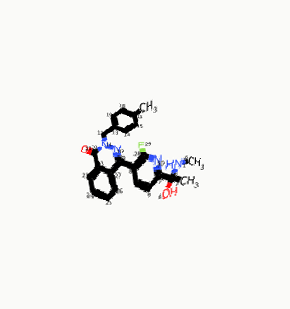 CNC(C)(O)c1ccc(-c2nn(Cc3ccc(C)cc3)c(=O)c3ccccc23)c(F)n1